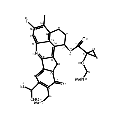 CCC(C=O)c1cc2n(c(=O)c1COC)Cc1c-2nc2cc(F)c(C)c3c2c1C(NC(=O)C1(OCNC)CC1)CC3